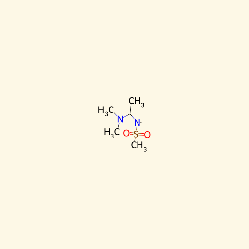 CC([N]S(C)(=O)=O)N(C)C